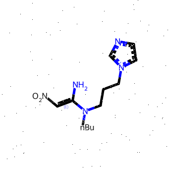 CCCCN(CCCn1ccnc1)/C(N)=C/[N+](=O)[O-]